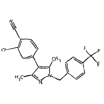 Cc1nn(Cc2ccc(C(F)(F)F)cc2)c(C)c1-c1ccc(C#N)c(Cl)c1